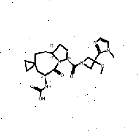 COC1(c2nccn2C)CN(C(=O)[C@@H]2CC[C@@H]3CCC4(CC4)C[C@H](NC(=O)O)C(=O)N32)C1